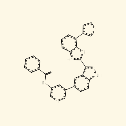 O=C(Nc1cncc(-c2ccc3[nH]nc(-c4nc5c(-c6ccsc6)cccc5[nH]4)c3c2)c1)c1ccccc1